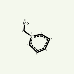 [Mo][CH2][n+]1ccccc1